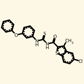 Cc1c(C(=O)NC(=S)Nc2cccc(Oc3ccccc3)c2)sc2ccc(Cl)cc12